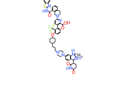 CNc1cc(N2CCN(CCCC3CCC(Oc4cccc(-c5ccc(N6CCc7cccc(C(=O)Nc8nc9ccccc9s8)c7C6)nc5C(=O)O)c4C(F)(F)F)CC3)CC2)ccc1C(=N)C1CCC(=O)NC1=O